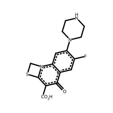 O=C(O)c1c2n(c3cc(N4CCNCC4)c(F)cc3c1=O)CS2